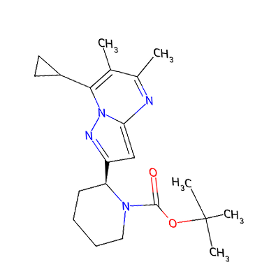 Cc1nc2cc([C@@H]3CCCCN3C(=O)OC(C)(C)C)nn2c(C2CC2)c1C